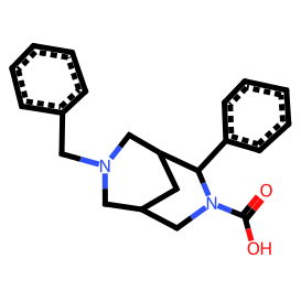 O=C(O)N1CC2CC(CN(Cc3ccccc3)C2)C1c1ccccc1